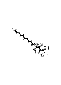 CCCCCCCCCCCNC(=O)[C@@H](O)[C@H](O)[C@H](O)[C@@H](C)O